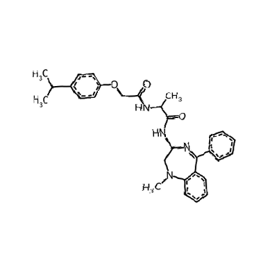 CC(NC(=O)COc1ccc(C(C)C)cc1)C(=O)N[C@@H]1CN(C)c2ccccc2C(c2ccccc2)=N1